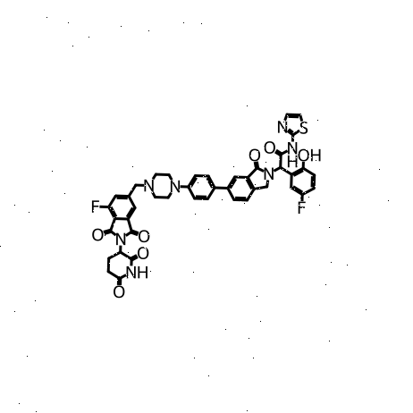 O=C1CCC(N2C(=O)c3cc(CN4CCN(c5ccc(-c6ccc7c(c6)C(=O)N(C(C(=O)Nc6nccs6)c6cc(F)ccc6O)C7)cc5)CC4)cc(F)c3C2=O)C(=O)N1